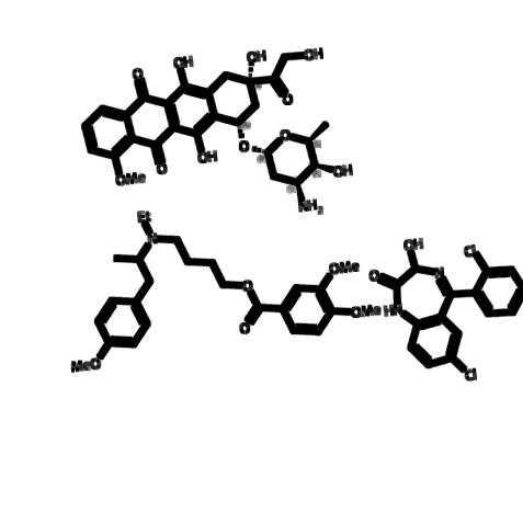 CCN(CCCCOC(=O)c1ccc(OC)c(OC)c1)C(C)Cc1ccc(OC)cc1.COc1cccc2c1C(=O)c1c(O)c3c(c(O)c1C2=O)C[C@@](O)(C(=O)CO)C[C@@H]3O[C@H]1C[C@H](N)[C@H](O)[C@H](C)O1.O=C1Nc2ccc(Cl)cc2C(c2ccccc2Cl)=NC1O